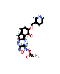 O=C1C(OCc2cccnc2)=CC=C2Cc3nc4c(nc3=C12)N(OC(=O)C(F)(F)F)ON=4